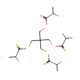 CC(O)C(=S)OCC(COC(=S)C(C)O)(COC(=S)C(C)O)COC(=S)C(C)O